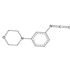 O=C=Nc1cccc(N2CCOCC2)c1